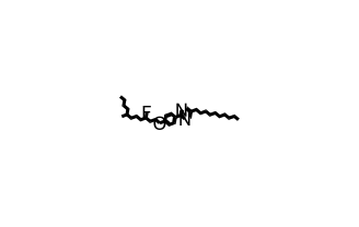 CCCCCCCCCCc1cnc(-c2ccc(OCCC(F)CCCC(C)CCCC)cc2)nc1